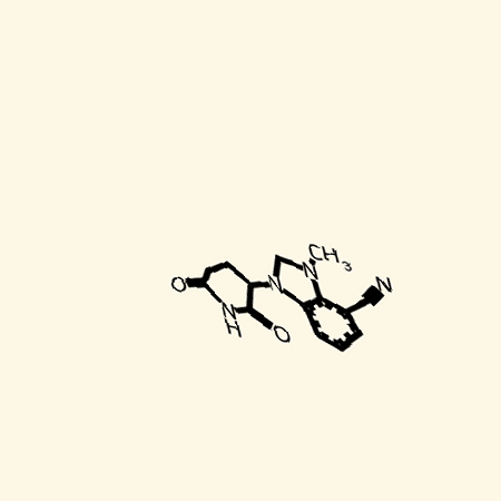 CN1CN(C2CCC(=O)NC2=O)c2cccc(C#N)c21